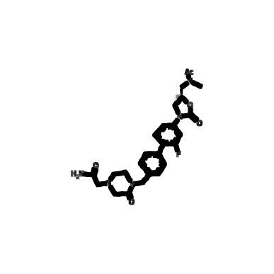 CC(=O)N(C)C[C@H]1CN(c2ccc(-c3ccc(CN4CCN(CC(N)=O)CC4=O)cc3)c(F)c2)C(=O)O1